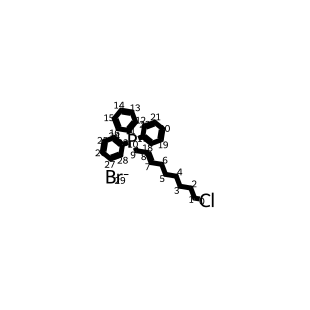 ClCCCCCCC=CC[P+](c1ccccc1)(c1ccccc1)c1ccccc1.[Br-]